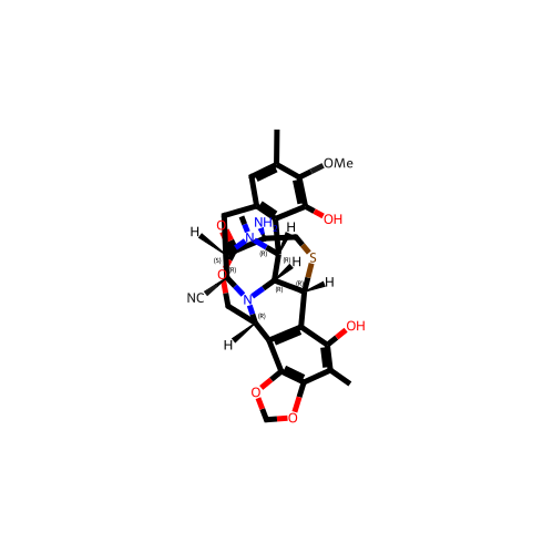 COc1c(C)cc2c(c1O)[C@@H]1[C@@H]3[C@@H]4SC[C@H](N)C(=O)OC[C@@H](c5c6c(c(C)c(O)c54)OCO6)N3[C@@H](C#N)[C@H](C2)N1C